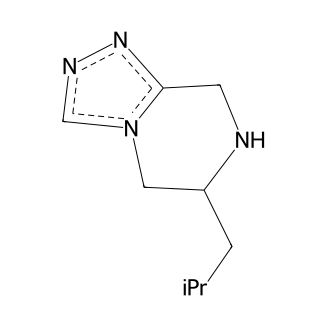 CC(C)CC1Cn2cnnc2CN1